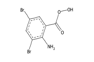 Nc1c(Br)cc(Br)cc1C(=O)OO